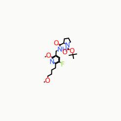 COCCCCc1nc(OC)c(CNC(=O)C2CCCN2C(=O)OC(C)(C)C)cc1F